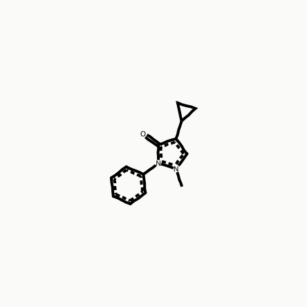 Cn1cc(C2CC2)c(=O)n1-c1ccccc1